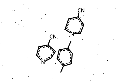 Cc1ccc(C)cc1.N#Cc1ccncc1.N#Cc1ccncc1